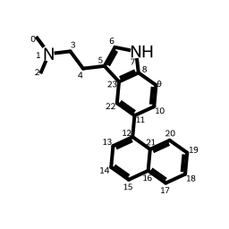 CN(C)CCc1c[nH]c2ccc(-c3cccc4ccccc34)cc12